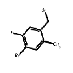 Cc1cc(Br)c(F)cc1CBr